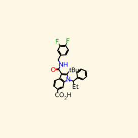 CCC(c1ccccc1)n1c(C(C)(C)C)c(C(=O)NCc2ccc(F)c(F)c2)c2ccc(C(=O)O)cc21